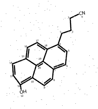 N#CCCCc1ccc2ccc3c(O)ccc4ccc1c2c43